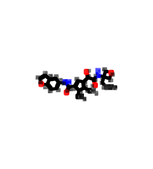 COCC1(NC(=O)C(=O)C2=C(C)C(C)C(C(=O)Nc3ccc4occc4c3)=C2)COC1